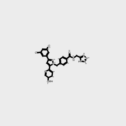 COC1C=NC(c2cc(-c3cc(Cl)cc(Cl)c3)nn2Cc2ccc(C(=O)NCc3nnn[nH]3)cc2)=CC1